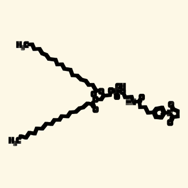 CCCCCCCCCCCCCCCCCCC(=O)OCC(COP(=O)(O)OCCNC(=O)CCCc1ccc(N2C(=O)CCC2=O)cc1)OC(=O)CCCCCCCCCCCCCCCCCC